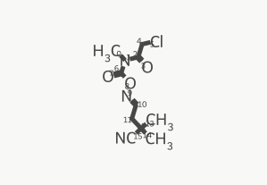 CN(C(=O)CCl)C(=O)ON=CCC(C)(C)C#N